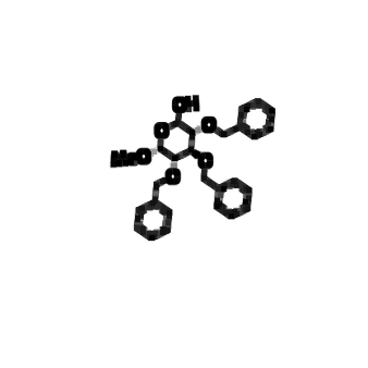 CO[C@@H]1OC(O)[C@H](OCc2ccccc2)[C@@H](OCc2ccccc2)[C@@H]1OCc1ccccc1